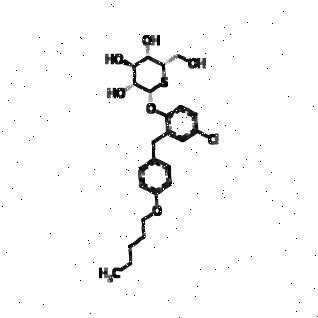 CCCCCOc1ccc(Cc2cc(Cl)ccc2O[C@H]2S[C@@H](CO)[C@@H](O)[C@H](O)[C@H]2O)cc1